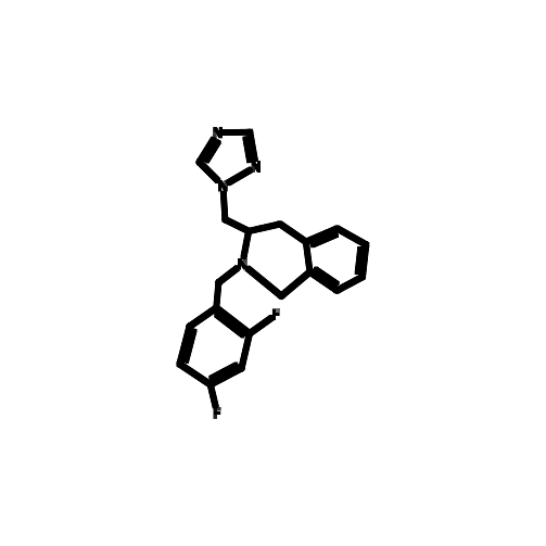 Fc1ccc(CN2Cc3ccccc3CC2Cn2cncn2)c(F)c1